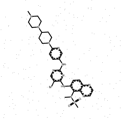 CN1CCN(C2CCN(c3ccc(Nc4ncc(Br)c(Nc5ccc6nccnc6c5N(C)S(C)(=O)=O)n4)cn3)CC2)CC1